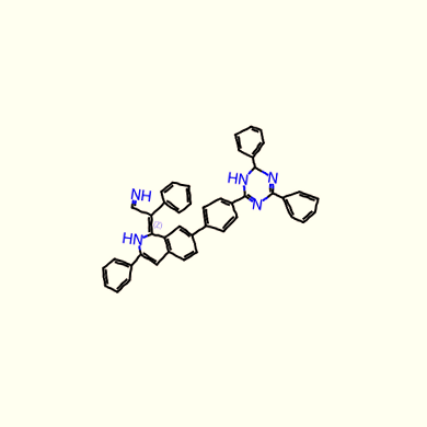 N=C/C(=C1\NC(c2ccccc2)=Cc2ccc(-c3ccc(C4=NC(c5ccccc5)=NC(c5ccccc5)N4)cc3)cc21)c1ccccc1